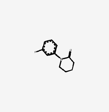 O=C1CCCCN1c1cc[c]c(F)c1